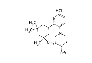 CCCN1CCN(c2ccccc2C2CC(C)(C)CC(C)(C)C2)CC1.Cl